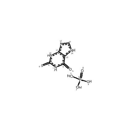 O=P(O)(O)O.O=c1[nH]c(=S)[nH]c2nc[nH]c12